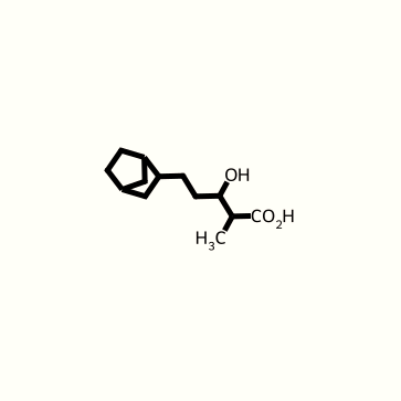 CC(C(=O)O)C(O)CCC1CC2CCC1C2